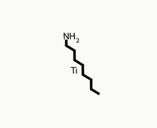 CCCCCCCCN.[Ti]